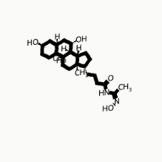 C/C(=N/O)NC(=O)CCC[C@H]1CC[C@H]2[C@@H]3[C@@H](O)C[C@@H]4C[C@H](O)CC[C@]4(C)[C@H]3CC[C@]12C